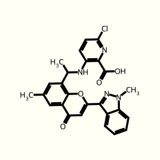 Cc1cc(C(C)Nc2ccc(Cl)nc2C(=O)O)c2oc(-c3nn(C)c4ccccc34)cc(=O)c2c1